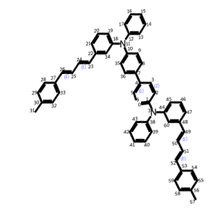 C=C(/C=C\C(=C/C)c1ccc(N(c2ccccc2)c2cccc(/C=C/C=C/c3ccc(C)cc3)c2)cc1)N(c1ccccc1)c1cccc(/C=C/C=C/c2ccc(C)cc2)c1